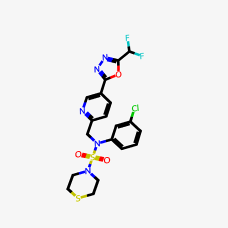 O=S(=O)(N1CCSCC1)N(Cc1ccc(-c2nnc(C(F)F)o2)cn1)c1cccc(Cl)c1